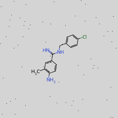 Cc1cc(C(=N)NCc2ccc(Cl)cc2)ccc1N